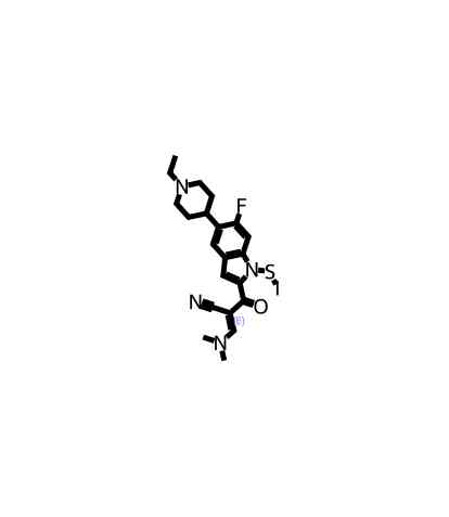 CCN1CCC(c2cc3cc(C(=O)/C(C#N)=C/N(C)C)n(SI)c3cc2F)CC1